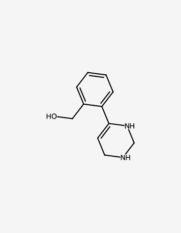 OCc1ccccc1C1=CCNCN1